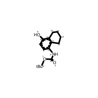 CC(C)(C)OC(=O)Nc1ccc(O)c2c1CCCC2